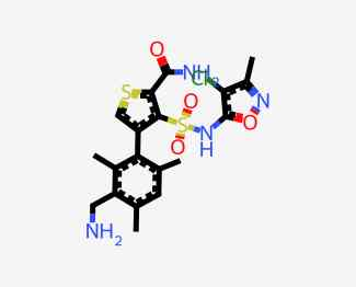 Cc1cc(C)c(-c2csc(C(N)=O)c2S(=O)(=O)Nc2onc(C)c2Cl)c(C)c1CN